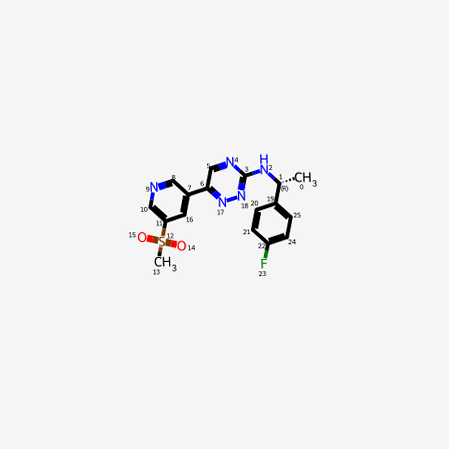 C[C@@H](Nc1ncc(-c2cncc(S(C)(=O)=O)c2)nn1)c1ccc(F)cc1